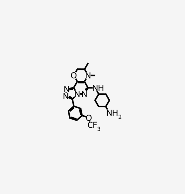 CC1COc2c(c(NC3CCC(N)CC3)nn3c(-c4cccc(OC(F)(F)F)c4)nnc23)N1C